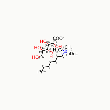 CCCCCCCCCC[N+](C)(C)CCCCCCC(C)C.O=C([O-])[C@H](O)[C@@H](O)[C@H](O)[C@H](O)CO